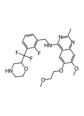 COCCOc1cc2c(NCc3cccc(C(F)(F)C4CNCCO4)c3F)nc(C)nc2cc1OC